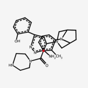 Cc1c(C(=O)N2CCNCC2)cccc1N1C2CCC1CN(c1cc(-c3ccccc3O)nnc1N)C2